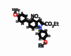 CCOC(=O)c1cc2c([N+](=O)[O-])c(-c3ccc(OC(C)C)cc3)ccc2n1-c1ccc(OC(C)C)cc1